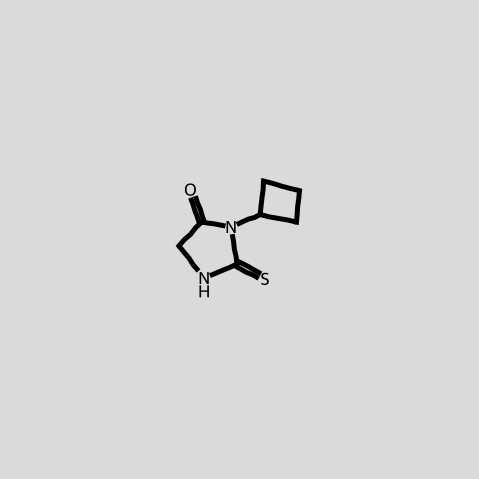 O=C1CNC(=S)N1C1CCC1